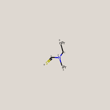 CCCCN([C]=S)C(C)C